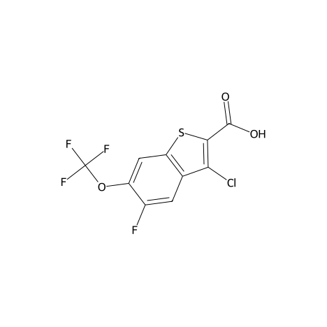 O=C(O)c1sc2cc(OC(F)(F)F)c(F)cc2c1Cl